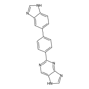 c1nc2cc(-c3ccc(-c4ncc5[nH]cnc5n4)cc3)ccc2[nH]1